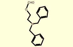 O=COCCN(Cc1ccccc1)Cc1ccccc1